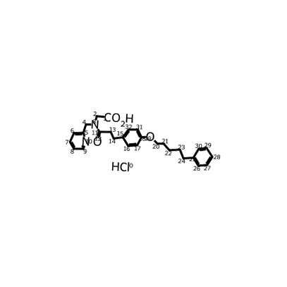 Cl.O=C(O)CN(Cc1ccccn1)C(=O)CCc1ccc(OCCCCCc2ccccc2)cc1